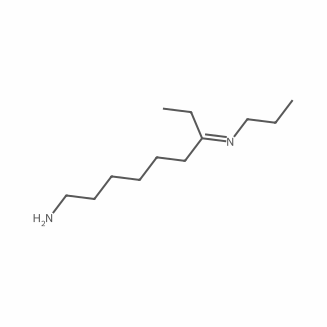 CCC/N=C(\CC)CCCCCCN